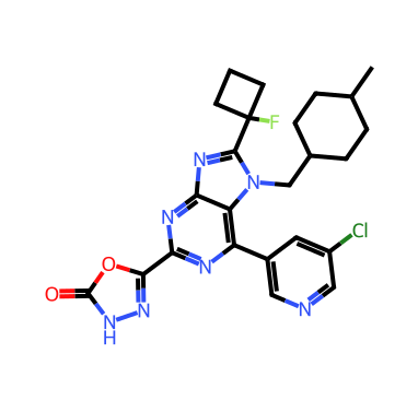 CC1CCC(Cn2c(C3(F)CCC3)nc3nc(-c4n[nH]c(=O)o4)nc(-c4cncc(Cl)c4)c32)CC1